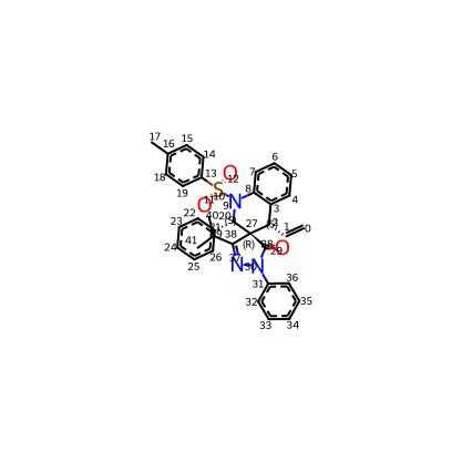 C=C[C@H]1c2ccccc2N(S(=O)(=O)c2ccc(C)cc2)[C@@H](c2ccccc2)[C@]12C(=O)N(c1ccccc1)N=C2C(C)C